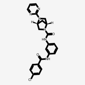 O=C(Nc1cccc(NC(=O)N2C[C@H]3C[C@@H]2CN3c2ncccn2)c1)c1ccc(Cl)cc1